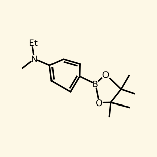 CCN(C)c1ccc(B2OC(C)(C)C(C)(C)O2)cc1